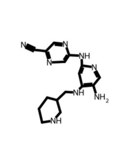 N#Cc1cnc(Nc2cc(NCC3CCCNC3)c(N)cn2)cn1